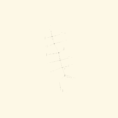 CCCCOC(=O)C(F)(F)C(F)(F)C(F)(F)C(F)(F)C(F)(F)C(F)(F)F